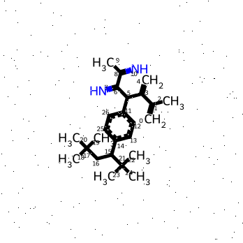 C=C(C)C(=C)C(C(=N)C(C)=N)c1ccc(C(CC(C)(C)C)C(C)(C)C)cc1